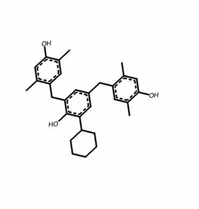 Cc1cc(Cc2cc(Cc3cc(C)c(O)cc3C)c(O)c(C3CCCCC3)c2)c(C)cc1O